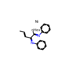 CC=CC(=Nc1ccccc1)C(CCCCCC)=Nc1ccccc1.[Ni]